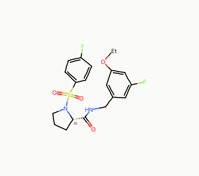 CCOc1cc(F)cc(CNC(=O)[C@@H]2CCCN2S(=O)(=O)c2ccc(F)cc2)c1